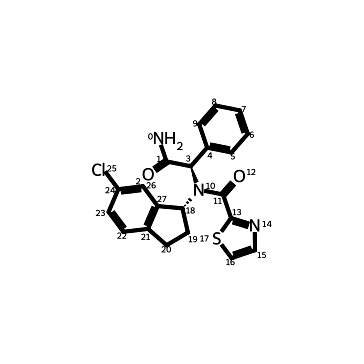 NC(=O)[C@@H](c1ccccc1)N(C(=O)c1nccs1)[C@@H]1CCc2ccc(Cl)cc21